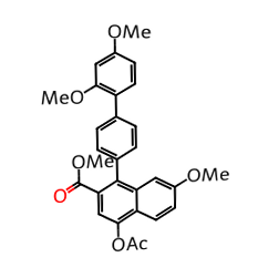 COC(=O)c1cc(OC(C)=O)c2ccc(OC)cc2c1-c1ccc(-c2ccc(OC)cc2OC)cc1